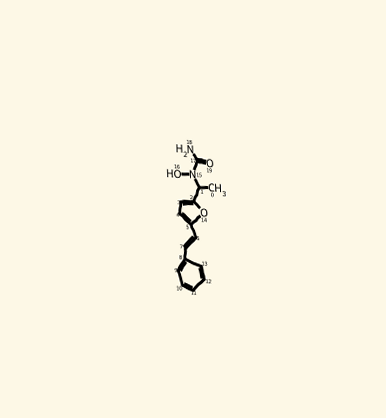 CC(c1ccc(C=Cc2ccccc2)o1)N(O)C(N)=O